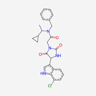 CC(C1CC1)N(Cc1ccccc1)C(=O)CN1C(=O)NC(c2c[nH]c3c(Cl)cccc23)C1=O